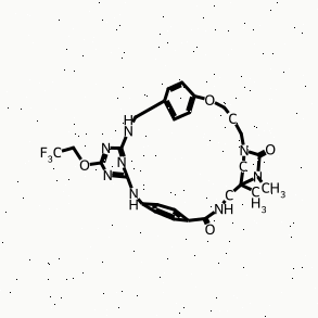 CN1C(=O)N2CCCOc3ccc(cc3)CNc3nc(nc(OCC(F)(F)F)n3)Nc3ccc(cc3)C(=O)NCC1(C)C2